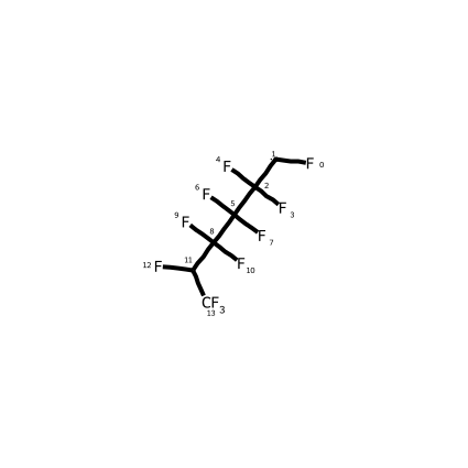 F[CH]C(F)(F)C(F)(F)C(F)(F)C(F)C(F)(F)F